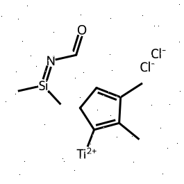 CC1=CC[C]([Ti+2])=C1C.C[Si](C)=NC=O.[Cl-].[Cl-]